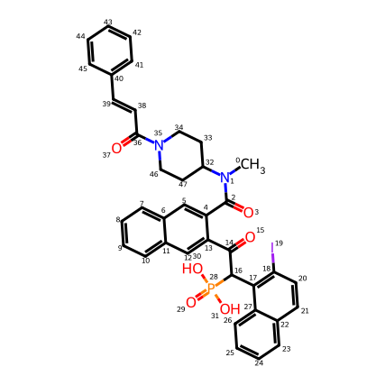 CN(C(=O)c1cc2ccccc2cc1C(=O)C(c1c(I)ccc2ccccc12)P(=O)(O)O)C1CCN(C(=O)C=Cc2ccccc2)CC1